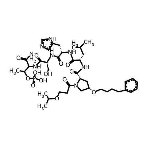 CC(C)C[C@H](NC(=O)[C@@H]1C[C@H](OCCCCc2ccccc2)CN1C(=O)CCOC(C)C)C(=O)N[C@@H](Cc1cnc[nH]1)C(=O)N[C@@H](CO)C(=O)N[C@H](C(N)=O)C(C)OP(=O)(O)O